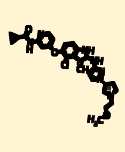 COCCN1CC[C@@H](n2ccc(NC3Nc4ccc(Oc5ccnc(NC(=O)C6CC6)c5)c(Cl)c4N3C)n2)C1